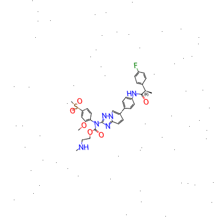 CNCCOC(=O)N(c1nc2ccc(-c3ccc(NC(=O)[C@H](C)c4ccc(F)cc4)cc3)cn2n1)c1ccc(S(C)(=O)=O)cc1OC